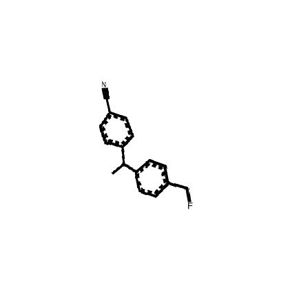 CC(c1ccc(C#N)cc1)c1ccc(CF)cc1